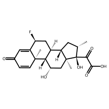 C[C@H]1C[C@H]2[C@@H]3C[C@H](F)C4=CC(=O)C=C[C@]4(C)[C@H]3[C@@H](O)C[C@]2(C)[C@@]1(O)C(=O)C(=O)O